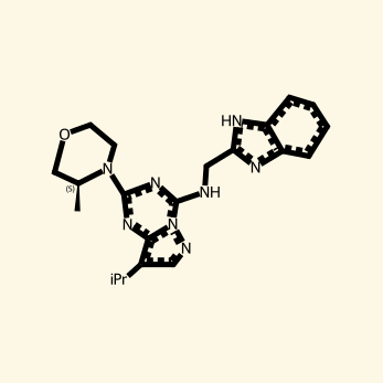 CC(C)c1cnn2c(NCc3nc4ccccc4[nH]3)nc(N3CCOC[C@@H]3C)nc12